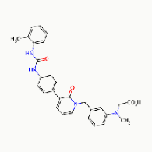 Cc1ccccc1NC(=O)Nc1ccc(-c2cccn(Cc3cccc(N(C)CC(=O)O)c3)c2=O)cc1